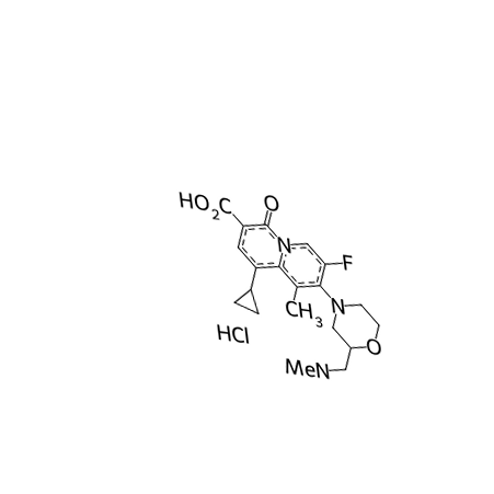 CNCC1CN(c2c(F)cn3c(=O)c(C(=O)O)cc(C4CC4)c3c2C)CCO1.Cl